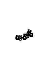 O=S(=O)(Nc1cc(-c2nc3ncccc3o2)ccn1)c1ccccc1C(F)(F)F